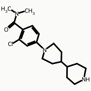 CN(C)C(=O)c1ccc(N2CCC(C3CCNCC3)CC2)cc1Cl